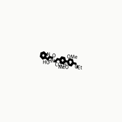 CCOCC1=CC(OC)=C(c2ccc(C[C@H](NC(=O)C3=Nc4ccccc4C3O)C(=O)O)cc2)C(OC)C1